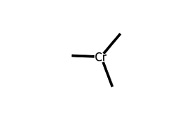 [CH3][Cr]([CH3])[CH3]